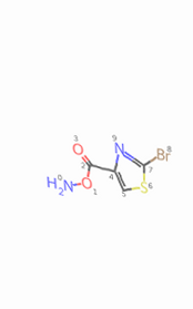 NOC(=O)c1csc(Br)n1